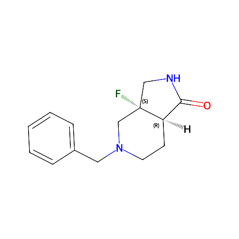 O=C1NC[C@]2(F)CN(Cc3ccccc3)CC[C@H]12